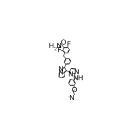 CN(C)CCOc1cccc(Nc2nccc(-c3c(-c4cccc(Cc5ccc(F)c(C(N)=O)c5F)c4)nn4ccccc34)n2)c1